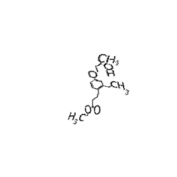 CCOC(=O)CCc1ccc(OCCC(C)O)cc1CC